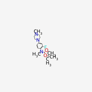 CN1CCN(c2ccc(N(C)C(=O)OC(C)(C)C)c(F)c2)CC1